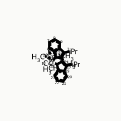 CC1=C(C(C)C)c2ccccc2[CH]1[Zr]([CH3])([CH3])([CH]1C(C)=C(C(C)C)c2ccccc21)[GeH]([CH3])[CH3]